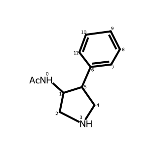 CC(=O)NC1CNCC1c1ccccc1